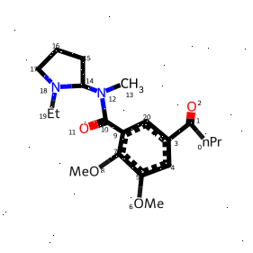 CCCC(=O)c1cc(OC)c(OC)c(C(=O)N(C)C2CCCN2CC)c1